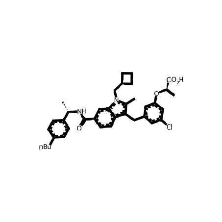 CCCCc1ccc([C@H](C)NC(=O)c2ccc3c(Cc4cc(Cl)cc(O[C@H](C)C(=O)O)c4)c(C)n(CC4CCC4)c3c2)cc1